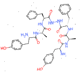 C[C@@H](NC(=O)[C@@H](N)Cc1ccc(O)cc1)C(=O)N[C@@H](Cc1ccccc1)C(=O)NNC(=O)[C@H](Cc1ccccc1)NC(=O)[C@@H](C)NC(=O)[C@@H](N)Cc1ccc(O)cc1